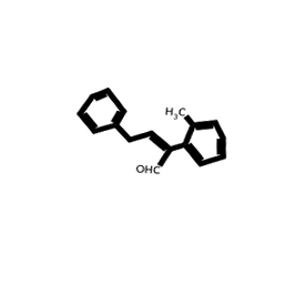 Cc1ccccc1C(C=O)=CCc1ccccc1